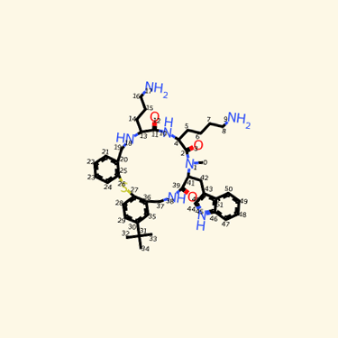 CN1C(=O)C(CCCCN)NC(=O)C(CCCN)NCc2ccccc2Sc2ccc(C(C)(C)C)cc2CNC(=O)C1Cc1c[nH]c2ccccc12